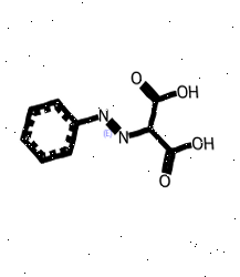 O=C(O)C(/N=N/c1ccccc1)C(=O)O